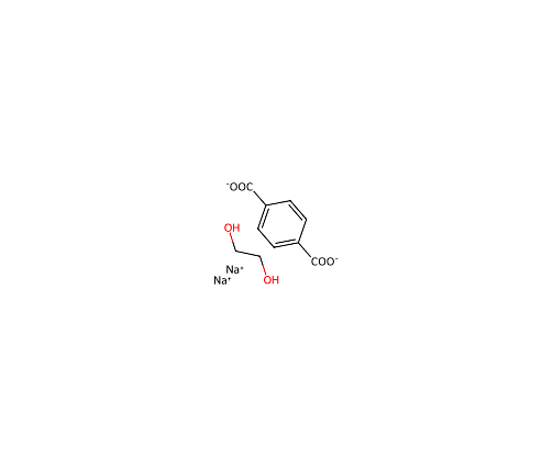 O=C([O-])c1ccc(C(=O)[O-])cc1.OCCO.[Na+].[Na+]